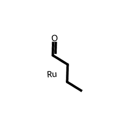 CCCC=O.[Ru]